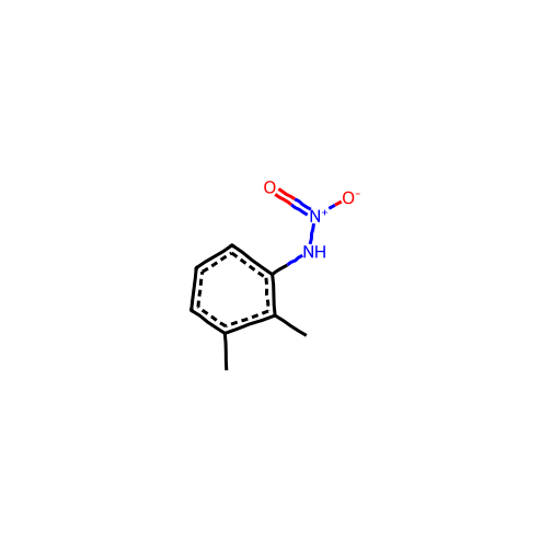 Cc1cccc(N[N+](=O)[O-])c1C